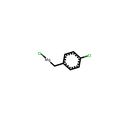 [Cl][Mg][CH2]c1ccc(Cl)cc1